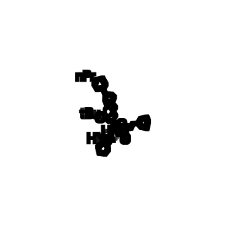 CCCc1ccc(-c2ccc(CCC[C@H](CC(=O)OC(C)(C)C)C(=O)N[C@@H](Cc3c[nH]c4ccccc34)C(=O)NCCc3ccccc3)cc2)cc1